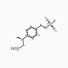 CCOC(=O)C[C@@H](C)c1ccc(COS(C)(=O)=O)cc1